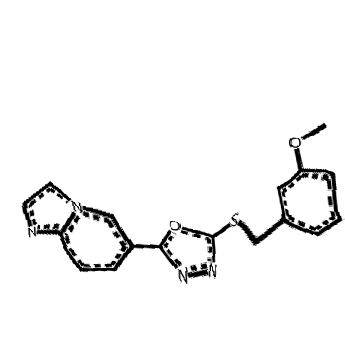 COc1cccc(CSc2nnc(-c3ccc4nccn4c3)o2)c1